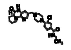 CCNC(=O)c1ccc(N2CCN(Cc3cnc4c(c3)NC(=O)[C@@H]3CCCCN43)CC2)c(Cl)c1